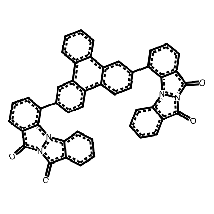 O=c1c2ccccc2n2c3c(-c4ccc5c6ccc(-c7cccc8c(=O)n9c(=O)c%10ccccc%10n9c78)cc6c6ccccc6c5c4)cccc3c(=O)n12